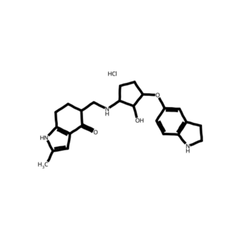 Cc1cc2c([nH]1)CCC(CNC1CCC(Oc3ccc4c(c3)CCN4)C1O)C2=O.Cl